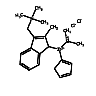 CC1=C(C[Si](C)(C)C)c2ccccc2[CH]1[Zr+2]([C]1=CC=CC1)[SiH](C)C.[Cl-].[Cl-]